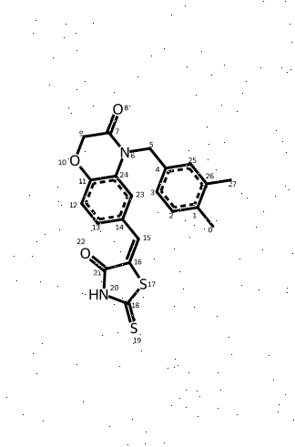 Cc1ccc(CN2C(=O)COc3ccc(C=C4SC(=S)NC4=O)cc32)cc1C